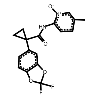 Cc1ccc(NC(=O)C2(c3ccc4c(c3)OC(F)(F)O4)CC2)[n+]([O-])c1